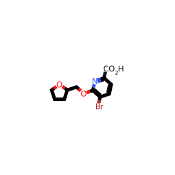 O=C(O)c1ccc(Br)c(OCC2CCCO2)n1